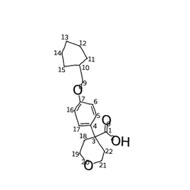 O=C(O)C1(c2ccc(OCC3CCCCC3)cc2)CCOCC1